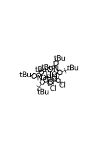 CC(C)(C)CC(C)(C)C1=CC(n2c3ccc(C(C)(C)C)cc3c3cc(C(C)(C)C)ccc32)C(O)(OCCCOc2c(Cl)cc(Cl)cc2-c2cc(C(C)(C)CC(C)(C)C)cc(-n3c4ccc(C(C)(C)C)cc4c4cc(C(C)(C)C)ccc43)c2O)C(c2cc(Cl)cc(Cl)c2)=C1